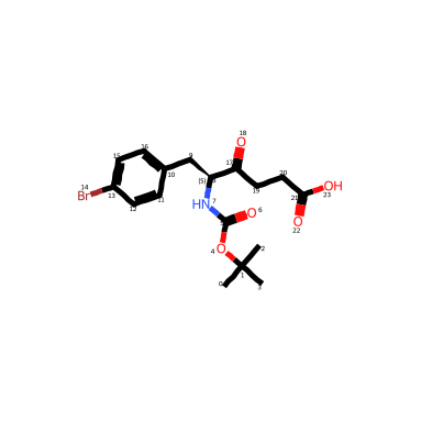 CC(C)(C)OC(=O)N[C@@H](Cc1ccc(Br)cc1)C(=O)CCC(=O)O